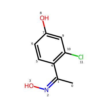 C/C(=N/O)c1ccc(O)cc1Cl